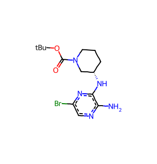 CC(C)(C)OC(=O)N1CCC[C@H](Nc2nc(Br)cnc2N)C1